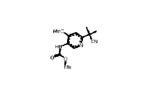 COc1cc(C(C)(C)C#N)ncc1NC(=O)OC(C)(C)C